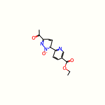 CCOC(=O)c1ccc(-c2ccc(C(C)=O)n[n+]2[O-])nc1